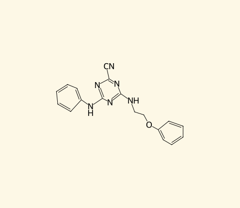 N#Cc1nc(NCCOc2ccccc2)nc(Nc2ccccc2)n1